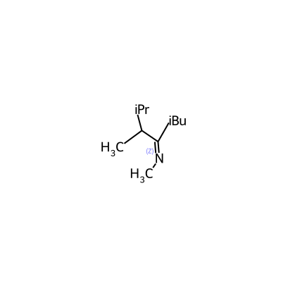 CCC(C)/C(=N/C)C(C)C(C)C